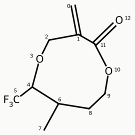 C=C1COC(C(F)(F)F)C(C)CCOC1=O